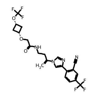 C=C(CCNC(=O)CO[C@H]1C[C@@H](OC(F)(F)F)C1)n1cnc(-c2ccc(C(F)(F)F)cc2C#N)c1